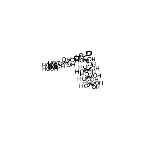 O=P(O)(O)O.O=P(O)(O)O.OC[C@@H](O)[C@@H](O)C(Oc1ccccc1)c1ccccc1.OC[C@@H](O)[C@@H](O)CO.OC[C@@H](O)[C@@H](O)CO.OC[C@@H](O)[C@@H](O)CO.OC[C@@H](O)[C@@H](O)CO